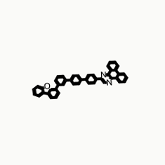 c1cc(-c2ccc(-c3ccc(-c4cnc5c6ccccc6c6ccccc6c5n4)cc3)cc2)cc(-c2cccc3c2oc2ccccc23)c1